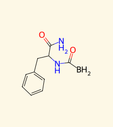 BC(=O)NC(Cc1ccccc1)C(N)=O